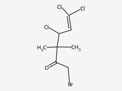 CC(C)(C(=O)CBr)C(Cl)C=C(Cl)Cl